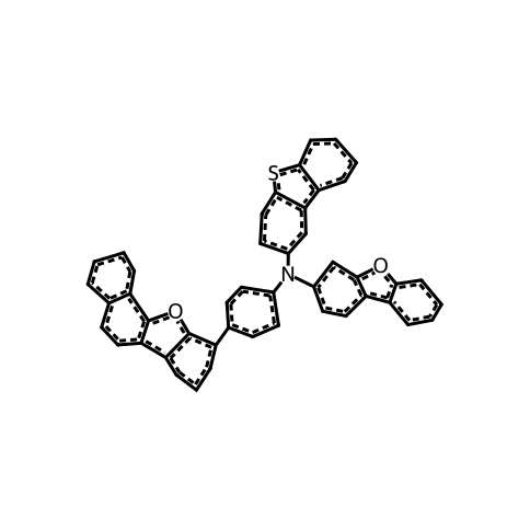 c1ccc2c(c1)ccc1c3cccc(-c4ccc(N(c5ccc6c(c5)oc5ccccc56)c5ccc6sc7ccccc7c6c5)cc4)c3oc21